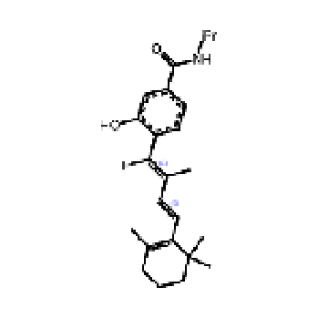 CC1=C(/C=C/C(C)=C(\F)c2ccc(C(=O)NC(C)C)cc2O)C(C)(C)CCC1